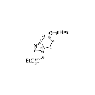 CCCCCCOC1CCn2c(CC(=O)OCC)cnc2C1